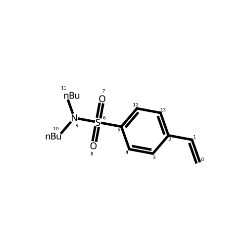 C=Cc1ccc(S(=O)(=O)N(CCCC)CCCC)cc1